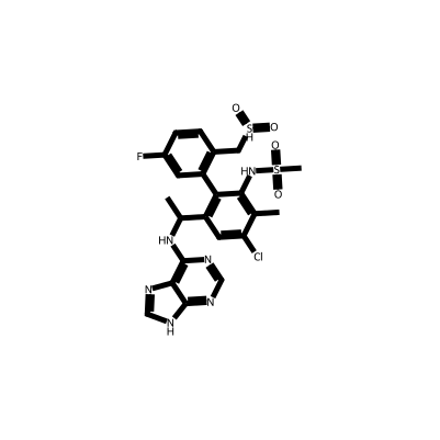 Cc1c(Cl)cc(C(C)Nc2ncnc3[nH]cnc23)c(-c2cc(F)ccc2C[SH](=O)=O)c1NS(C)(=O)=O